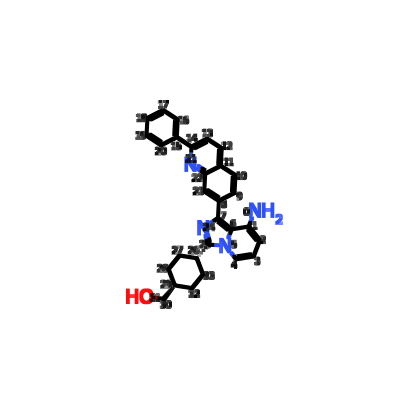 Nc1cccn2c1c(-c1ccc3ccc(-c4ccccc4)nc3c1)nc2[C@H]1CC[C@H](CO)CC1